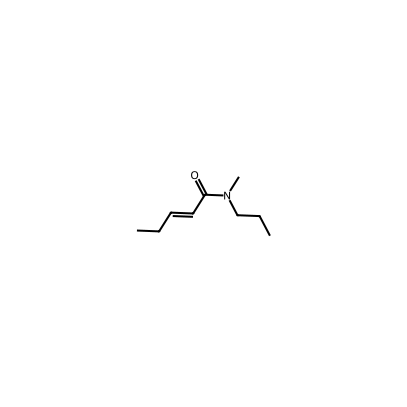 CC/C=C/C(=O)N(C)CCC